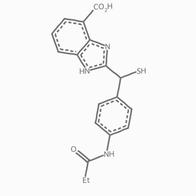 CCC(=O)Nc1ccc(C(S)c2nc3c(C(=O)O)cccc3[nH]2)cc1